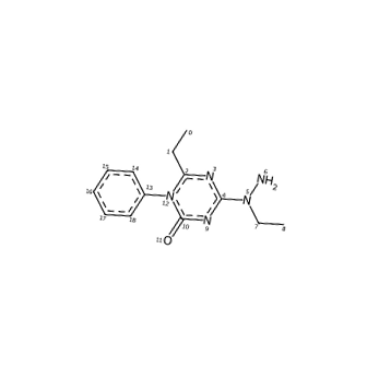 CCc1nc(N(N)CC)nc(=O)n1-c1ccccc1